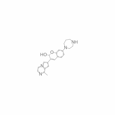 Cc1nccn2cc(C3=Cc4ccc(N5CCCNCC5)cc4OC3O)cc12